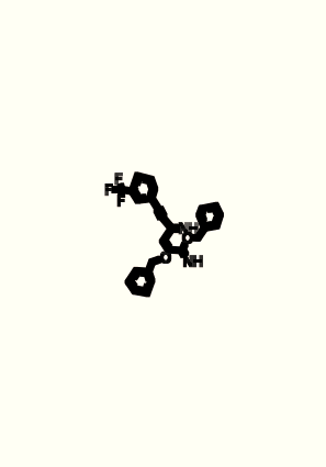 N=C(C#Cc1cccc(C(F)(F)F)c1)/C=C(/OCc1ccccc1)C(=N)OCc1ccccc1